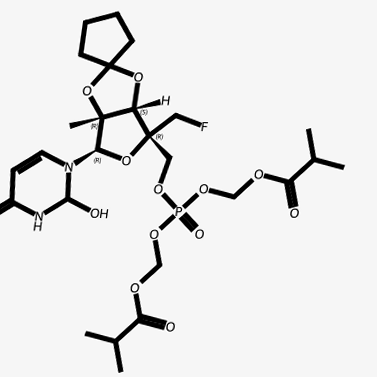 CC(C)C(=O)OCOP(=O)(OCOC(=O)C(C)C)OC[C@@]1(CF)O[C@@H](N2C=CC(=O)NC2O)[C@]2(C)OC3(CCCC3)O[C@H]12